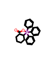 O=COP(c1ccccc1)(c1ccccc1)(c1ccccc1)C1CCCCC1